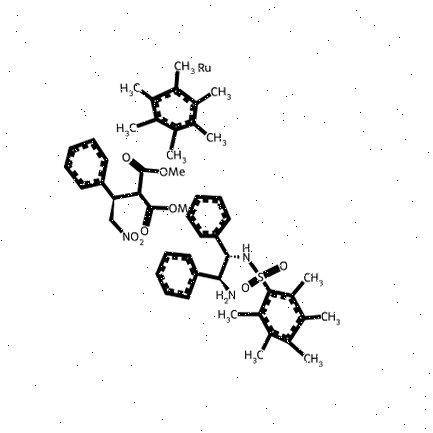 COC(=O)C(C(=O)OC)[C@@H](C[N+](=O)[O-])c1ccccc1.Cc1c(C)c(C)c(C)c(C)c1C.Cc1c(C)c(C)c(S(=O)(=O)N[C@@H](c2ccccc2)[C@@H](N)c2ccccc2)c(C)c1C.[Ru]